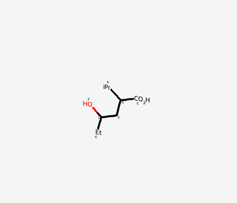 CCC(O)CC(C(=O)O)C(C)C